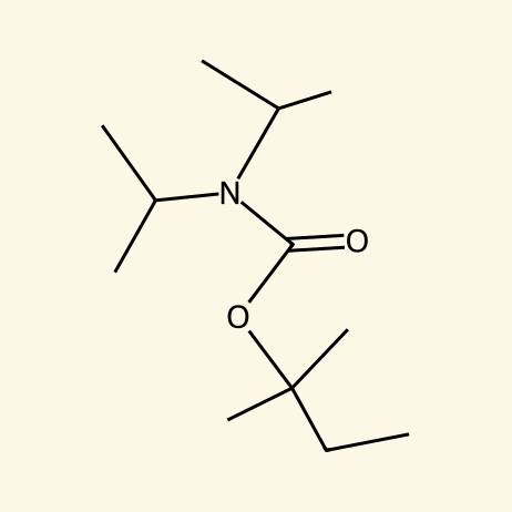 CCC(C)(C)OC(=O)N(C(C)C)C(C)C